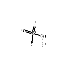 O=S(=O)(O)F.[La]